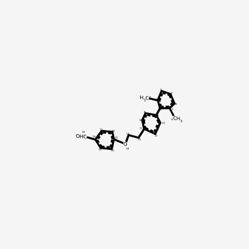 Cc1cccc(C)c1-c1ccc(CCOc2ccc(C=O)cc2)cc1